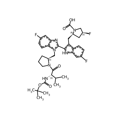 CC(C)[C@H](NC(=O)OC(C)(C)C)C(=O)N1CCC[C@H]1Cn1c(-c2[nH]c3cc(F)ccc3c2C[C@@H]2C[C@H](F)CN2C(=O)O)nc2cc(F)ccc21